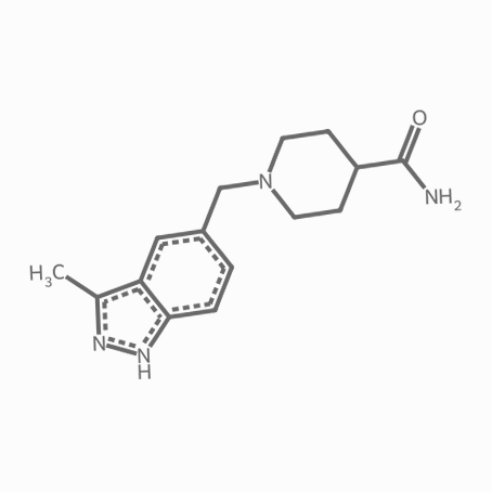 Cc1n[nH]c2ccc(CN3CCC(C(N)=O)CC3)cc12